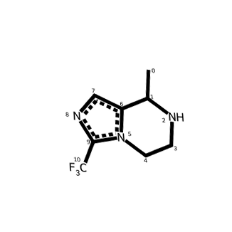 CC1NCCn2c1cnc2C(F)(F)F